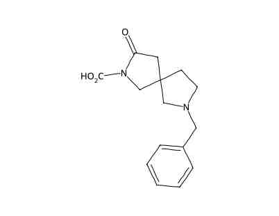 O=C(O)N1CC2(CCN(Cc3ccccc3)C2)CC1=O